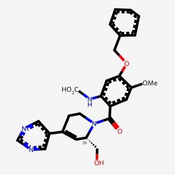 COc1cc(C(=O)N2CCC(c3cncnc3)=C[C@H]2CO)c(NC(=O)O)cc1OCc1ccccc1